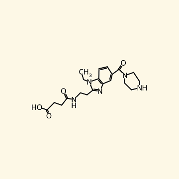 CCn1c(CCNC(=O)CCC(=O)O)nc2cc(C(=O)N3CCNCC3)ccc21